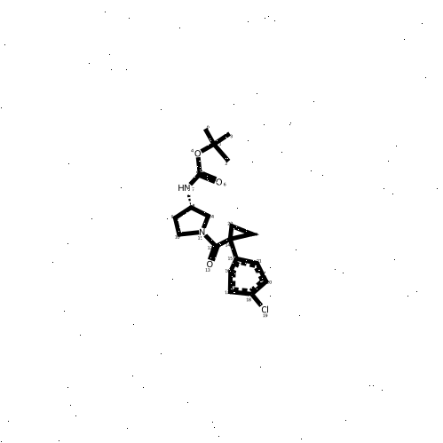 CC(C)(C)OC(=O)N[C@H]1CCN(C(=O)C2(c3ccc(Cl)cc3)CC2)C1